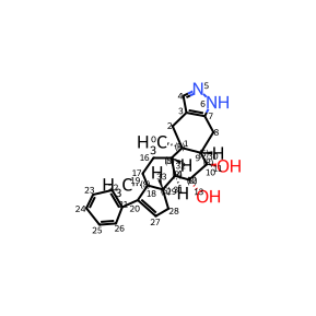 C[C@]12Cc3cn[nH]c3C[C@@H]1[C@@H](O)[C@H](O)[C@@H]1[C@@H]2CC[C@]2(C)C(c3ccccc3)=CC[C@@H]12